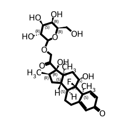 C[C@@H]1C[C@H]2[C@@H]3CCC4=CC(=O)C=C[C@]4(C)[C@@]3(F)[C@@H](O)C[C@]2(C)[C@@]1(O)C(=O)COC1O[C@H](CO)[C@H](O)[C@H](O)[C@H]1O